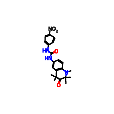 CN1c2ccc(NC(=O)Nc3ccc([N+](=O)[O-])cc3)cc2C(C)(C)C(=O)C1(C)C